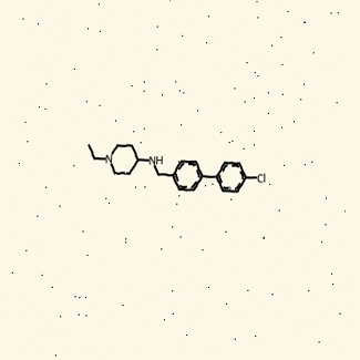 CCN1CCC(NCc2ccc(-c3ccc(Cl)cc3)cc2)CC1